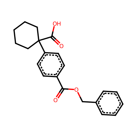 O=C(OCc1ccccc1)c1ccc(C2(C(=O)O)CCCCC2)cc1